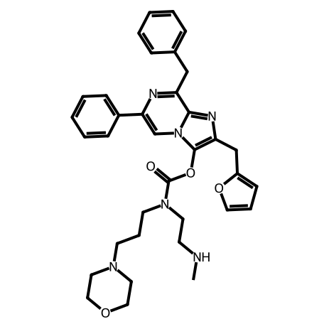 CNCCN(CCCN1CCOCC1)C(=O)Oc1c(Cc2ccco2)nc2c(Cc3ccccc3)nc(-c3ccccc3)cn12